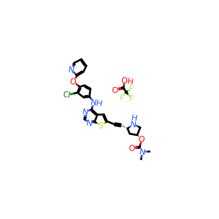 CN(C)C(=O)O[C@H]1CN[C@@H](C#Cc2cc3c(Nc4ccc(Oc5ccccn5)c(Cl)c4)ncnc3s2)C1.O=C(O)C(F)(F)F